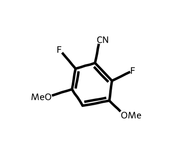 COc1cc(OC)c(F)c(C#N)c1F